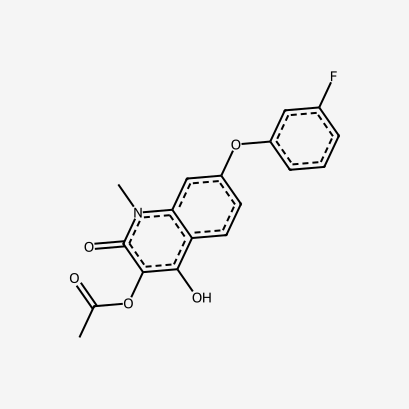 CC(=O)Oc1c(O)c2ccc(Oc3cccc(F)c3)cc2n(C)c1=O